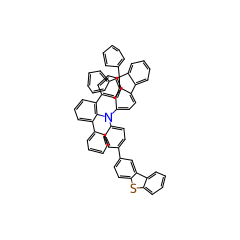 c1ccc(-c2cccc(-c3ccccc3)c2N(c2ccc(-c3ccc4sc5ccccc5c4c3)cc2)c2ccc3c(c2)C(c2ccccc2)(c2ccccc2)c2ccccc2-3)cc1